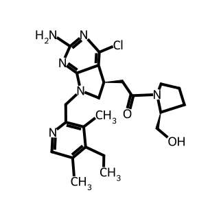 CCc1c(C)cnc(CN2C[C@H](CC(=O)N3CCC[C@H]3CO)c3c(Cl)nc(N)nc32)c1C